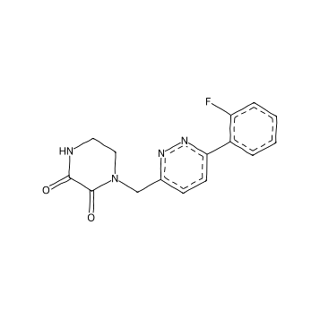 O=C1NCCN(Cc2ccc(-c3ccccc3F)nn2)C1=O